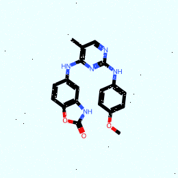 COc1ccc(Nc2ncc(C)c(Nc3ccc4oc(=O)[nH]c4c3)n2)cc1